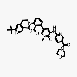 Cn1cc(-c2cccc(N3CCc4cc(C(C)(C)C)ncc4C3=O)c2C=O)cc(Nc2ccc(C(=O)N3CCOCC3)cn2)c1=O